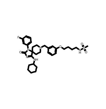 CS(=O)(=O)NCCCCOc1cccc(CN2CCC3(CC2)C(NC2CCCCC2)=NC(=O)N3c2cccc(F)c2)c1